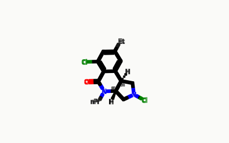 CCCN1C(=O)c2c(Cl)cc(CC)cc2[C@H]2CN(Cl)C[C@@H]21